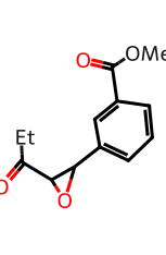 CCC(=O)C1OC1c1cccc(C(=O)OC)c1